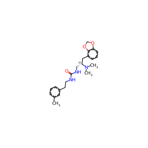 Cc1cccc(CCNC(=O)NC[C@H](Cc2cccc3c2OCO3)N(C)C)c1